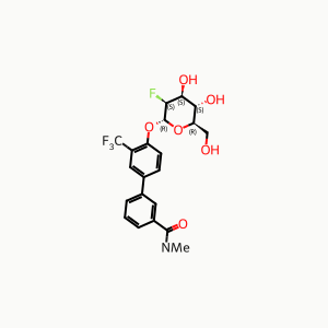 CNC(=O)c1cccc(-c2ccc(O[C@H]3O[C@H](CO)[C@@H](O)[C@H](O)[C@@H]3F)c(C(F)(F)F)c2)c1